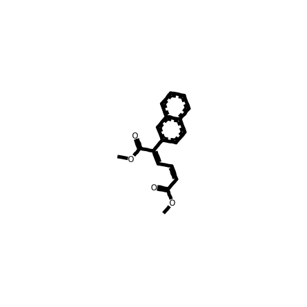 COC(=O)/C=C\C=C(\C(=O)OC)c1ccc2ccccc2c1